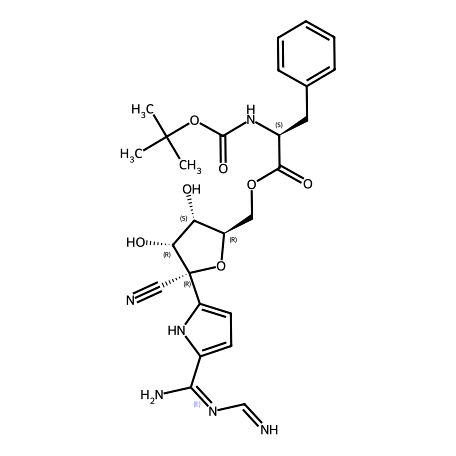 CC(C)(C)OC(=O)N[C@@H](Cc1ccccc1)C(=O)OC[C@H]1O[C@@](C#N)(c2ccc(/C(N)=N\C=N)[nH]2)[C@H](O)[C@@H]1O